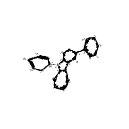 C1#C[C@H](n2c3ccccc3c3cc(-c4ccccc4)ccc32)CC=C1